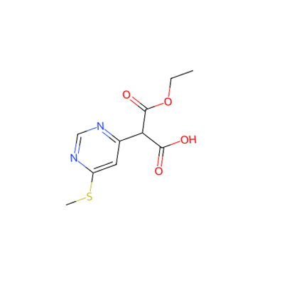 CCOC(=O)C(C(=O)O)c1cc(SC)ncn1